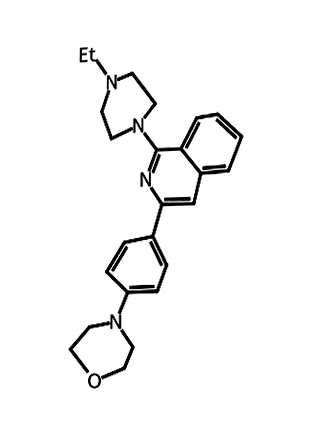 CCN1CCN(c2nc(-c3ccc(N4CCOCC4)cc3)cc3ccccc23)CC1